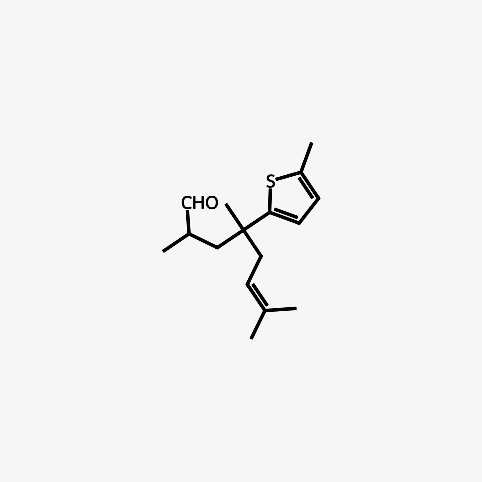 CC(C)=CCC(C)(CC(C)C=O)c1ccc(C)s1